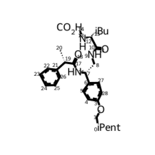 CCCC(C)COc1ccc([C@@H](CNC(=O)[C@@H](NC(=O)O)[C@@H](C)CC)NC(=O)[C@@H](C)c2ccccc2)cc1